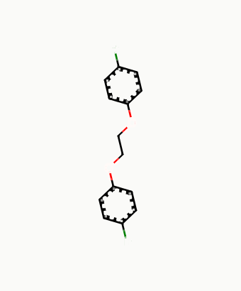 Brc1ccc(OCCOc2ccc(Br)cc2)cc1